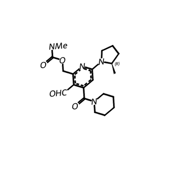 CNC(=O)OCc1nc(N2CCC[C@H]2C)cc(C(=O)N2CCCCC2)c1C=O